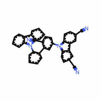 N#Cc1ccc2c(c1)c1cc(C#N)ccc1n2-c1ccc(C#N)c(-c2ccccc2-n2c3ccccc3c3ccccc32)c1